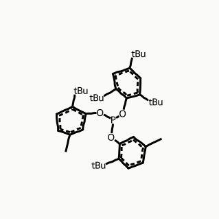 Cc1ccc(C(C)(C)C)c(OP(Oc2cc(C)ccc2C(C)(C)C)Oc2c(C(C)(C)C)cc(C(C)(C)C)cc2C(C)(C)C)c1